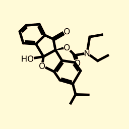 CCN(CC)C(=O)O[C@]12C(=O)c3ccccc3C1(O)Oc1cc(C(C)C)ccc12